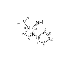 CC(C)n1ccn(-c2ccccc2)c1=N